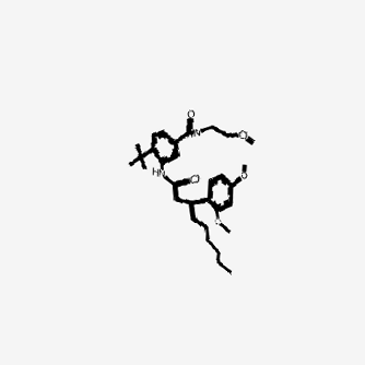 CCCCCCC(CC(=O)Nc1cc(C(=O)NCCOC)ccc1C(C)(C)C)c1ccc(OC)cc1OC